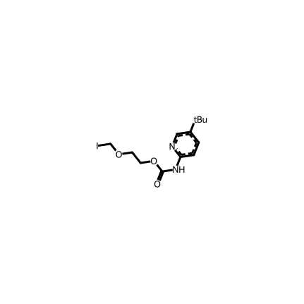 CC(C)(C)c1ccc(NC(=O)OCCOCI)nc1